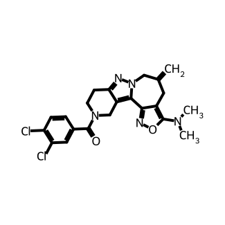 C=C1Cc2c(noc2N(C)C)-c2c3c(nn2C1)CCN(C(=O)c1ccc(Cl)c(Cl)c1)C3